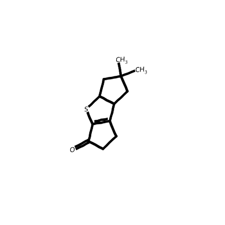 CC1(C)CC2SC3=C(CCC3=O)C2C1